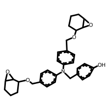 Oc1ccc(CN(c2ccc(COC3CCCC4OC34)cc2)c2ccc(COC3CCCC4OC34)cc2)cc1